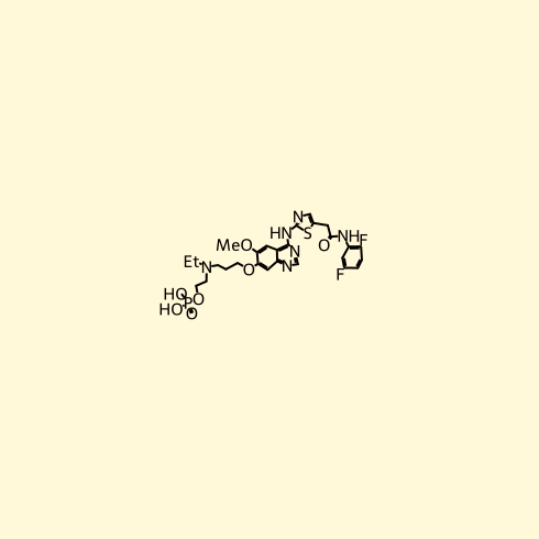 CCN(CCCOc1cc2ncnc(Nc3ncc(CC(=O)Nc4cc(F)ccc4F)s3)c2cc1OC)CCOP(=O)(O)O